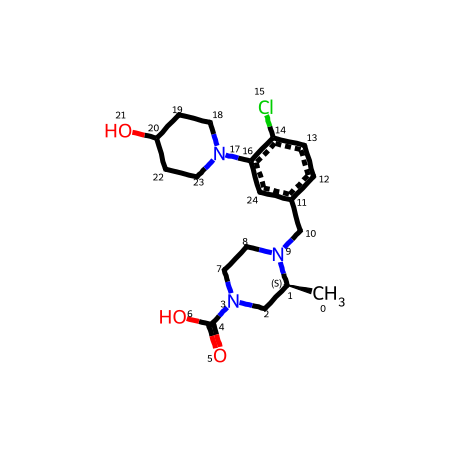 C[C@H]1CN(C(=O)O)CCN1Cc1ccc(Cl)c(N2CCC(O)CC2)c1